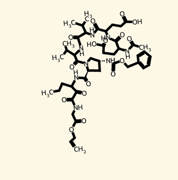 C=CCOC(=O)CNC(=O)C(=O)C(CCC)NC(=O)[C@@H]1C[C@@H](NC(=O)OCc2ccccc2)CN1C(=O)C(NC(=O)C(NC(=O)C(CCC(=O)O)NC(=O)C(CCC(=O)O)NC(C)=O)C(C)C)C(C)C